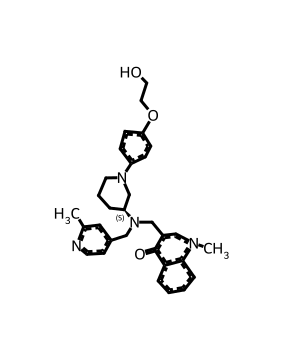 Cc1cc(CN(Cc2cn(C)c3ccccc3c2=O)[C@H]2CCCN(c3ccc(OCCO)cc3)C2)ccn1